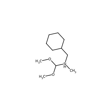 COC(OC)[SiH](C)CC1CCCCC1